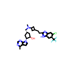 Cc1ncnc2c1ccn2[C@@H]1C[C@H](CN(C)C2CC(CCc3nc4cc(Cl)c(C(F)(F)F)cc4[nH]3)C2)C[C@H]1O